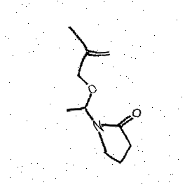 C=C(C)COC(C)N1CCCC1=O